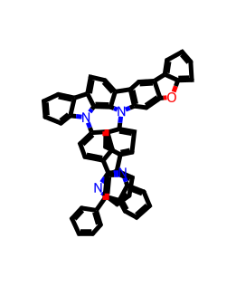 c1ccc(-c2ccc(-n3c4cc5oc6ccccc6c5cc4c4ccc5c6ccccc6n(-c6ccc(-c7nc(-c8ccccc8)c8ccccc8n7)cc6)c5c43)cc2)cc1